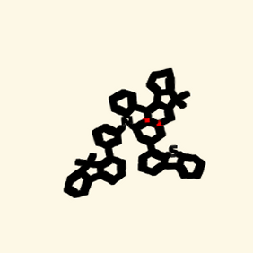 CC1(C)c2ccccc2-c2c(-c3ccccc3N(c3cccc(-c4cccc5c4C(C)(C)c4ccccc4-5)c3)c3cccc(-c4cccc5c4sc4ccccc45)c3)cccc21